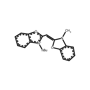 CCCC[n+]1c(C=C2Oc3ccccc3N2C)oc2ccccc21